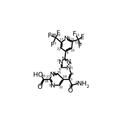 NC(=O)/C(=C/n1cnc(-c2cc(C(F)(F)F)nc(C(F)(F)F)c2)n1)c1cnc(C(=O)O)nc1